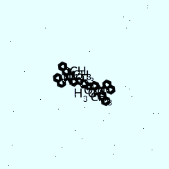 CC1(C)c2cc3ccccc3cc2N(c2cccc3ccccc23)c2ccc3c(oc4cc5c(cc43)oc3c4c(ccc35)N(c3cccc5ccccc35)c3cc5ccccc5cc3C4(C)C)c21